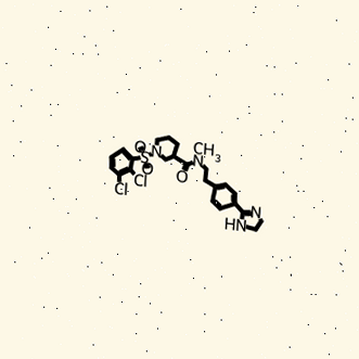 CN(CCc1ccc(C2=NCCN2)cc1)C(=O)C1CCCN(S(=O)(=O)c2cccc(Cl)c2Cl)C1